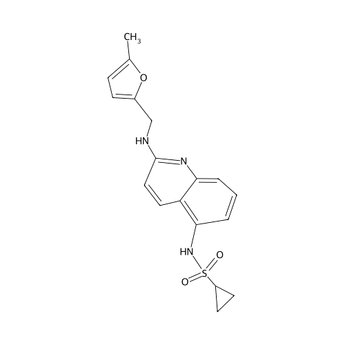 Cc1ccc(CNc2ccc3c(NS(=O)(=O)C4CC4)cccc3n2)o1